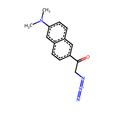 CN(C)c1ccc2cc(C(=O)CN=[N+]=[N-])ccc2c1